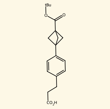 CC(C)(C)OC(=O)C12CC(c3ccc(CCC(=O)O)cc3)(C1)C2